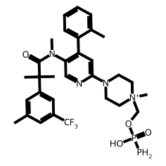 Cc1cc(C(F)(F)F)cc(C(C)(C)C(=O)N(C)c2cnc(N3CC[N+](C)(COP(=O)(O)P)CC3)cc2-c2ccccc2C)c1